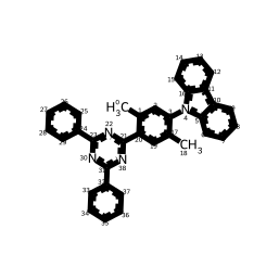 Cc1cc(-n2c3ccccc3c3ccccc32)c(C)cc1-c1nc(-c2ccccc2)nc(-c2ccccc2)n1